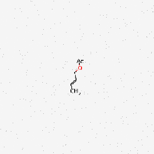 [CH2]C=CCOC(C)=O